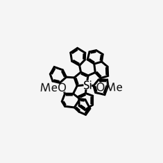 COc1ccc2ccccc2c1C1=C(c2ccccc2)C(c2ccccc2)=C(c2c(OC)ccc3ccccc23)[Si]1(c1ccccc1)c1ccccc1